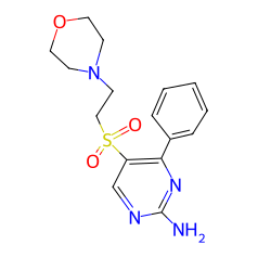 Nc1ncc(S(=O)(=O)CCN2CCOCC2)c(-c2ccccc2)n1